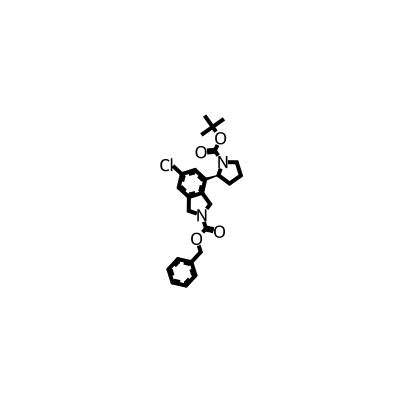 CC(C)(C)OC(=O)N1CCC[C@H]1c1cc(Cl)cc2c1CN(C(=O)OCc1ccccc1)C2